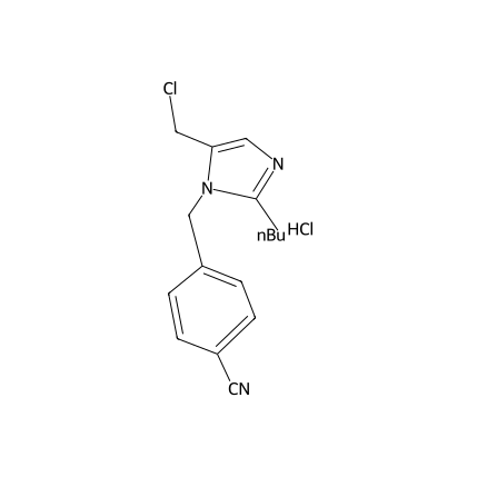 CCCCc1ncc(CCl)n1Cc1ccc(C#N)cc1.Cl